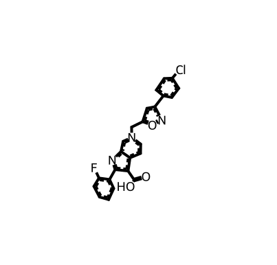 O=C(O)c1c2ccn(Cc3cc(-c4ccc(Cl)cc4)no3)cc-2nc1-c1ccccc1F